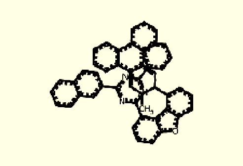 CC1C=c2c(c3ccccc3c3ccccc23)=CC1c1cccc2oc3cccc(-c4nc(-c5ccccc5)nc(-c5ccc6ccccc6c5)n4)c3c12